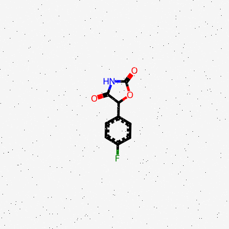 O=C1NC(=O)C(c2ccc(F)cc2)O1